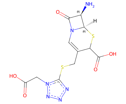 N[C@@H]1C(=O)N2C=C(CSc3nnnn3CC(=O)O)C(C(=O)O)S[C@H]12